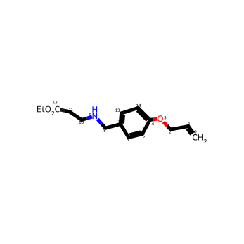 C=CCOc1ccc(CNCCC(=O)OCC)cc1